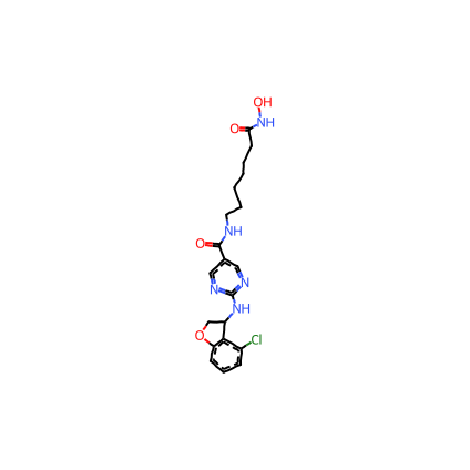 O=C(CCCCCCNC(=O)c1cnc(NC2COc3cccc(Cl)c32)nc1)NO